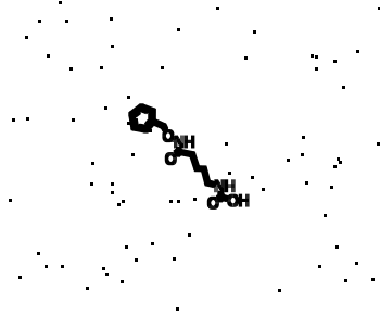 O=C(O)NCCCCC(=O)NOCc1ccccc1